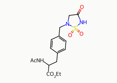 CCOC(=O)C(Cc1ccc(CN2CC(=O)NS2(=O)=O)cc1)NC(C)=O